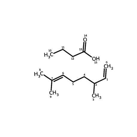 C=CC(C)CCC=C(C)C.CCCC(=O)O